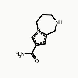 NC(=O)c1cc2n(c1)CCCNC2